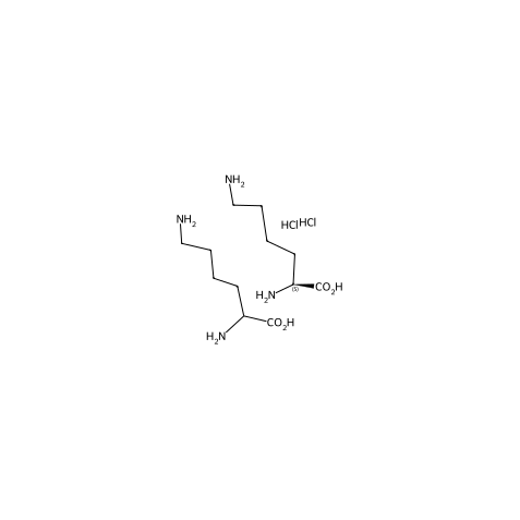 Cl.Cl.NCCCCC(N)C(=O)O.NCCCC[C@H](N)C(=O)O